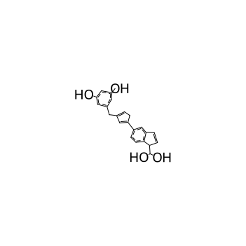 Oc1cc(O)cc(CC2=CCC(c3ccc4c(c3)C=CC4C(O)O)=C2)c1